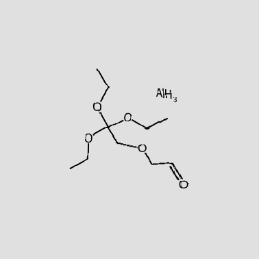 CCOC(COCC=O)(OCC)OCC.[AlH3]